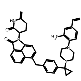 C=Cc1ccc(N2CCN(C3(c4ccc(Cc5ccc6c7c(cccc57)C(=O)N6C5CCC(=C)NC5=O)cc4)CC3)CC2)c(P)c1